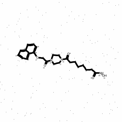 O=C(CCCCCCC(=O)N1CCN(C(=O)COc2cccc3ccccc23)CC1)NO